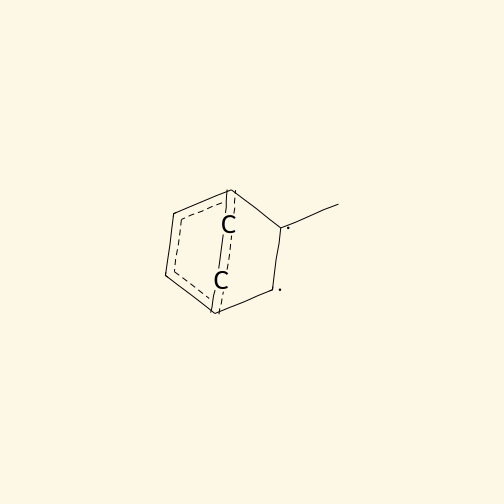 C[C]1[CH]c2ccc1cc2